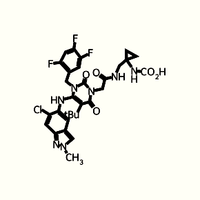 Cn1cc2cc(Nc3c(C(C)(C)C)c(=O)n(CC(=O)NCC4(NC(=O)O)CC4)c(=O)n3Cc3cc(F)c(F)cc3F)c(Cl)cc2n1